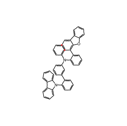 c1ccc(N(c2cccc(-c3ccccc3-n3c4ccccc4c4ccccc43)c2)c2ccccc2-c2cccc3c2oc2ccccc23)cc1